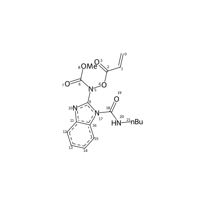 C=CC(=O)ON(C(=O)OC)c1nc2ccccc2n1C(=O)NCCCC